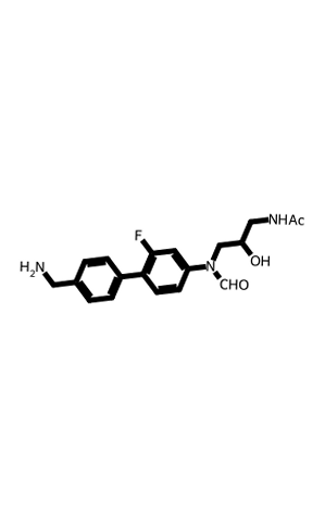 CC(=O)NCC(O)CN(C=O)c1ccc(-c2ccc(CN)cc2)c(F)c1